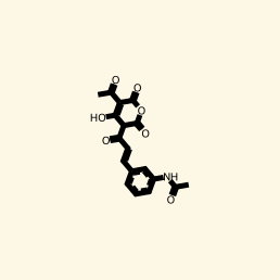 CC(=O)Nc1cccc(/C=C/C(=O)C2C(=O)OC(=O)C(C(C)=O)=C2O)c1